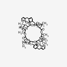 CC(C)C[C@H]1C(=O)O[C@H](Cc2ccc(Cc3ccnn3C)cc2)C(=O)N(C)[C@@H](CC(C)C)C(=O)O[C@H](C)C(=O)N(C)[C@@H](CC(C)C)C(=O)O[C@H](Cc2ccc(Cc3ccnn3C)cc2)C(=O)N(C)[C@@H](CC(C)C)C(=O)O[C@H](C)C(=O)N1C